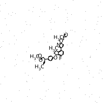 CC#CC(CC(=O)OC)c1ccc(O[C@@H]2CCc3c(-c4ccc(OCC5(C)COC5)nc4C)ccc(F)c32)cc1